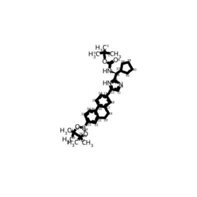 CC(C)(C)OC(=O)N[C@H](c1ncc(-c2ccc3c(c2)CCc2cc(B4OC(C)(C)C(C)(C)O4)ccc2-3)[nH]1)C1CCCC1